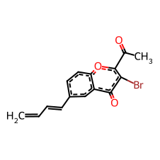 C=CC=Cc1ccc2oc(C(C)=O)c(Br)c(=O)c2c1